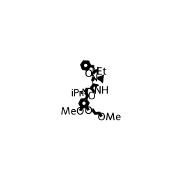 CCN(Cc1ccccc1)C(=O)N(C[C@@H]1CNC[C@H]1CN(C(=O)c1ccc(OC)c(OCCCOC)c1)C(C)C)C1CC1